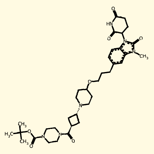 Cn1c(=O)n(C2CCC(=O)NC2=O)c2ccc(CCCOC3CCN([C@H]4C[C@H](C(=O)N5CCN(C(=O)OC(C)(C)C)CC5)C4)CC3)cc21